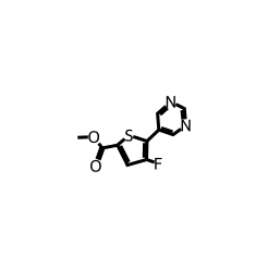 COC(=O)c1cc(F)c(-c2cncnc2)s1